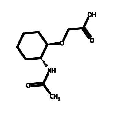 CC(=O)N[C@@H]1CCCC[C@H]1OCC(=O)O